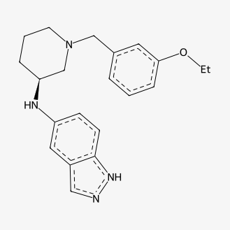 CCOc1cccc(CN2CCC[C@H](Nc3ccc4[nH]ncc4c3)C2)c1